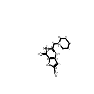 O=c1[nH]c(CN2CCCCC2)nc2cc(Br)sc12